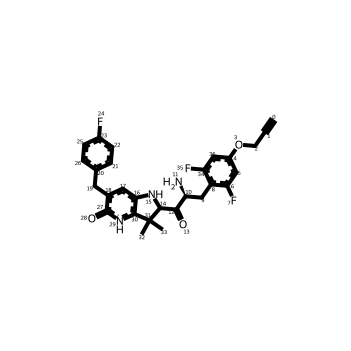 C#CCOc1cc(F)c(C[C@H](N)C(=O)C2Nc3cc(Cc4ccc(F)cc4)c(=O)[nH]c3C2(C)C)c(F)c1